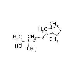 CC(O)C(C)(C)C=CC=CC1(C)CCCC1(C)C